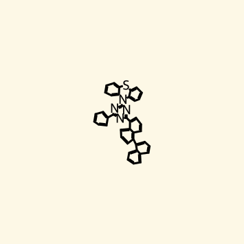 c1ccc(-c2nc(-c3cccc4c(-c5cccc6ccccc56)cccc34)nc(N3c4ccccc4Sc4ccccc43)n2)cc1